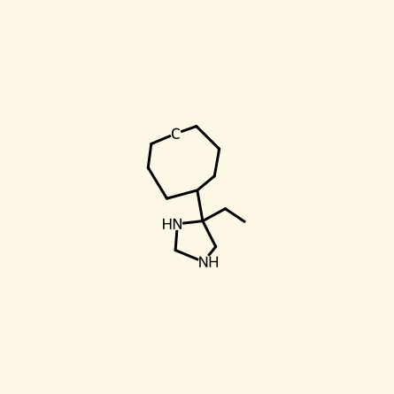 CCC1(C2CCCCCCC2)CNCN1